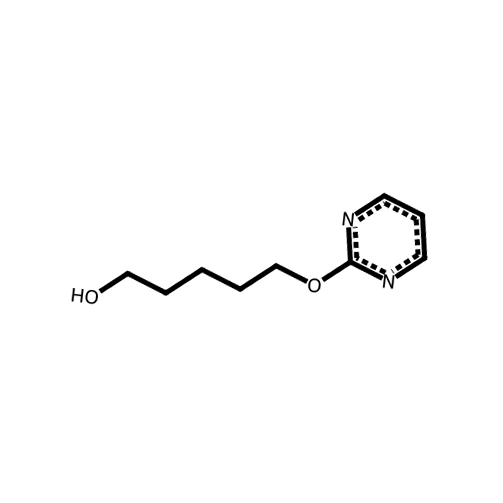 OCCCCCOc1ncccn1